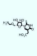 NCOC[C@H]1O[C@@H](n2cc(CC(=O)O)c(=O)[nH]c2=S)[C@H](O)[C@@H]1O